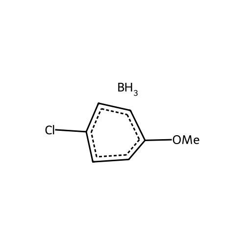 B.COc1ccc(Cl)cc1